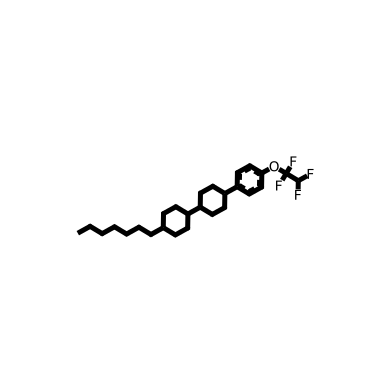 CCCCCCCC1CCC(C2CCC(c3ccc(OC(F)(F)C(F)F)cc3)CC2)CC1